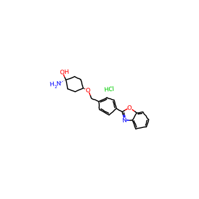 Cl.N[C@]1(O)CC[C@H](OCc2ccc(-c3nc4ccccc4o3)cc2)CC1